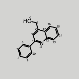 OCc1cc(-c2ccccc2)nc2ccccc12